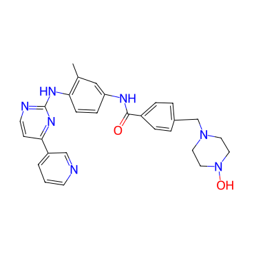 Cc1cc(NC(=O)c2ccc(CN3CCN(O)CC3)cc2)ccc1Nc1nccc(-c2cccnc2)n1